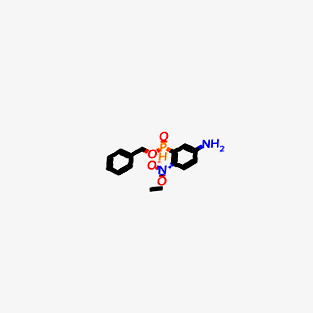 CC.Nc1ccc([N+](=O)[O-])c([PH](=O)OCc2ccccc2)c1